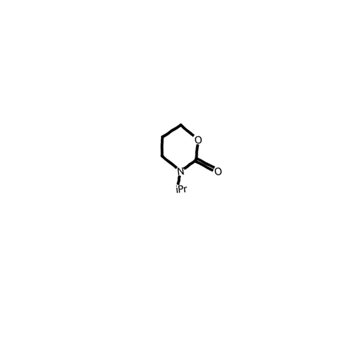 CC(C)N1CCCOC1=O